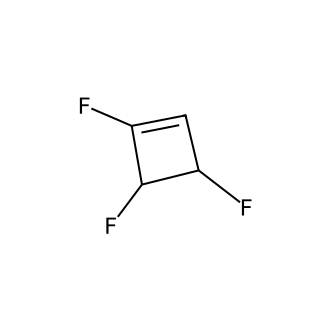 FC1=CC(F)C1F